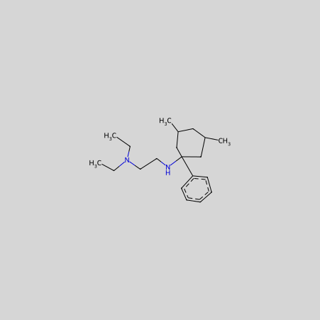 CCN(CC)CCNC1(c2ccccc2)CC(C)CC(C)C1